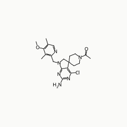 COc1c(C)cnc(CN2CC3(CCN(C(C)=O)CC3)c3c(Cl)nc(N)nc32)c1C